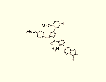 COc1ccc(Cn2cc(-c3cc(F)ccc3OC)cc2C(=O)c2cnn(-c3ccc4[nH]c(C)nc4c3)c2N)cc1